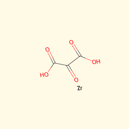 O=C(O)C(=O)C(=O)O.[Zr]